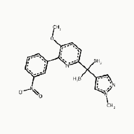 BC(B)(c1cnn(C)c1)c1ccc(OC)c(-c2cccc([N+](=O)[O-])c2)n1